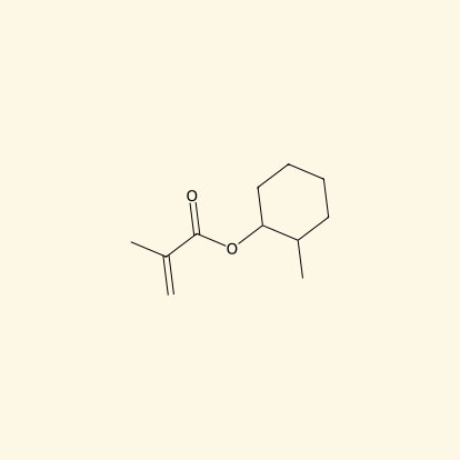 C=C(C)C(=O)OC1CCCCC1C